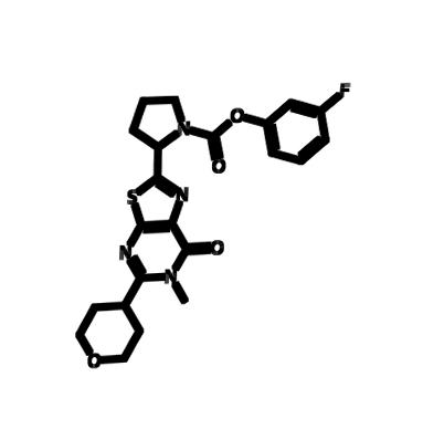 Cn1c(C2CCOCC2)nc2sc(C3CCCN3C(=O)Oc3cccc(F)c3)nc2c1=O